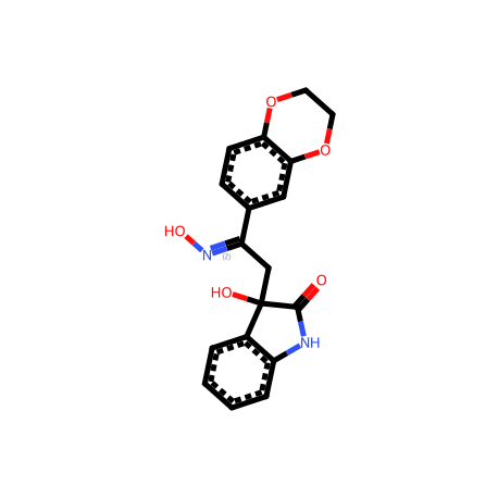 O=C1Nc2ccccc2C1(O)C/C(=N/O)c1ccc2c(c1)OCCO2